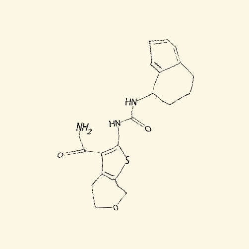 NC(=O)c1c(NC(=O)NC2CCCc3ccccc32)sc2c1CCOC2